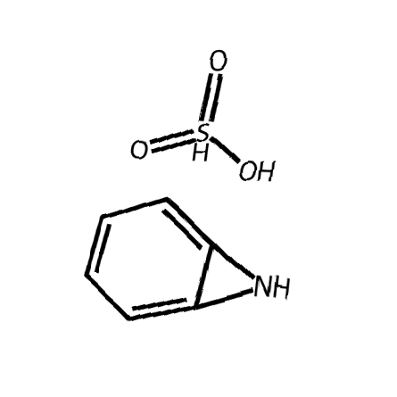 O=[SH](=O)O.c1ccc2c(c1)N2